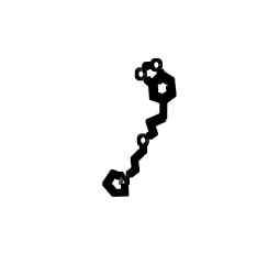 C(=Cc1ccc2c(c1)OCO2)COCCCN1CCCC1